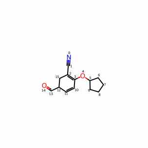 N#CC1=C(OC2CCCC2)C=CC(C=O)C1